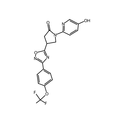 CC(F)(F)Oc1ccc(-c2noc(C3CC(=O)N(c4ccc(O)cn4)C3)n2)cc1